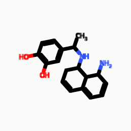 CC(NC1CC=CC2=CC=CC(N)C21)c1ccc(O)c(O)c1